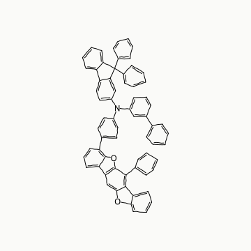 c1ccc(-c2cccc(N(c3ccc(-c4cccc5c4oc4c(-c6ccccc6)c6c(cc45)oc4ccccc46)cc3)c3ccc4c(c3)C(c3ccccc3)(c3ccccc3)c3ccccc3-4)c2)cc1